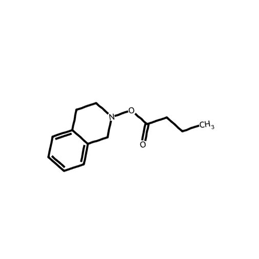 CCCC(=O)ON1CCc2ccccc2C1